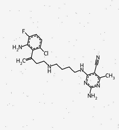 C=C(CCNCCCCNc1nc(N)nc(C)c1C#N)c1c(Cl)ccc(F)c1N